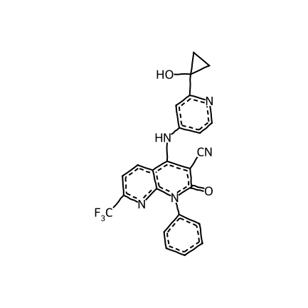 N#Cc1c(Nc2ccnc(C3(O)CC3)c2)c2ccc(C(F)(F)F)nc2n(-c2ccccc2)c1=O